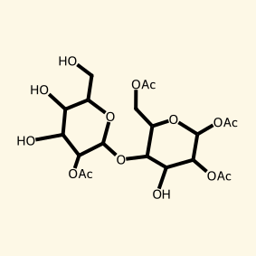 CC(=O)OCC1OC(OC(C)=O)C(OC(C)=O)C(O)C1OC1OC(CO)C(O)C(O)C1OC(C)=O